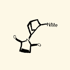 CNC1CC2CC1C(N1C(=O)C=CC1=O)C2